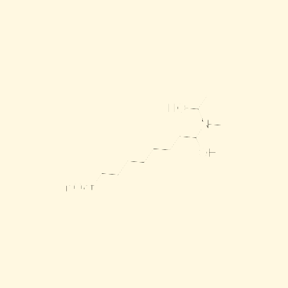 CCCCCCCCCCCCCCCC(O)N(C)C(C)O